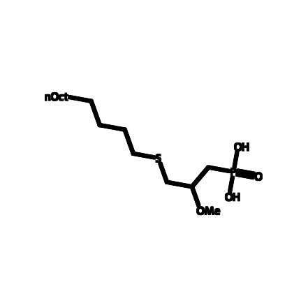 CCCCCCCCCCCCSCC(CP(=O)(O)O)OC